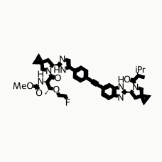 COC(=O)N[C@H](C(=O)N1CC2(CC2)C[C@H]1c1ncc(-c2ccc(C#Cc3ccc4nc([C@@H]5CC6(CC6)CN5C(=O)[C@@H](C)C(C)C)[nH]c4c3)cc2)[nH]1)[C@@H](C)OCCF